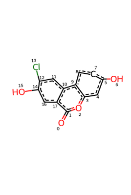 O=c1oc2cc(O)ccc2c2cc(Cl)c(O)cc12